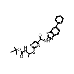 CC(NC(=O)OC(C)(C)C)Sc1nc(C(=O)Nc2nc3ccc(-c4ccccc4)cc3s2)cs1